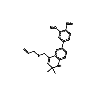 C=CCSCC1=CC(C)(C)Nc2ccc(-c3ccc(OC)c(OC)c3)cc21